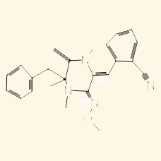 C=C1N(C)C(=C\c2ccccc2C#N)/C(=N/OC)N(C)C1(C)Cc1ccccc1